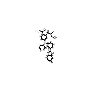 CC(CO)Nc1cc(-n2c3ccccc3c3c(-c4nc5ccc(F)cc5[nH]4)cccc32)ccc1C(N)=O